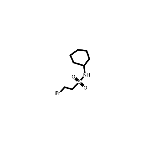 CC(C)CCS(=O)(=O)NC1CCCCC1